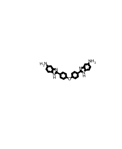 Nc1ccc2[nH]c(-c3ccc(Oc4ccc(-c5nc6cc(N)ccc6[nH]5)cc4)cc3)nc2c1